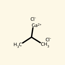 C[CH](C)[Ga+2].[Cl-].[Cl-]